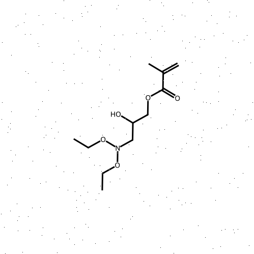 C=C(C)C(=O)OCC(O)CN(OCC)OCC